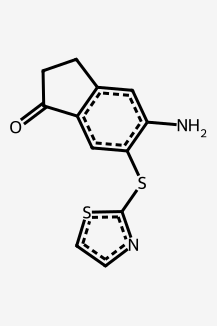 Nc1cc2c(cc1Sc1nccs1)C(=O)CC2